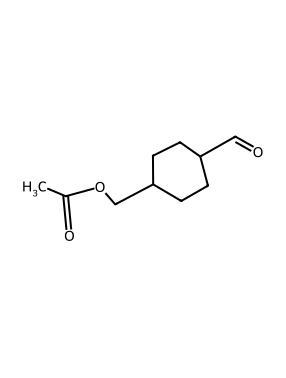 CC(=O)OCC1CCC(C=O)CC1